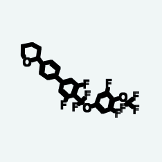 Fc1cc(OC(F)(F)c2c(F)cc(-c3ccc(C4CCCCO4)cc3)cc2F)cc(F)c1OC(F)(F)F